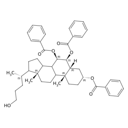 C[C@@H](CCCO)C1CCC2C3C(CC[C@@]21C)[C@@]1(C)CC[C@@H](OC(=O)c2ccccc2)C[C@H]1[C@H](OC(=O)c1ccccc1)[C@@H]3OC(=O)c1ccccc1